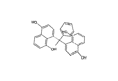 CC(c1ccccc1)(c1ccc(O)c2cccc(O)c12)c1ccc(O)c2cccc(O)c12